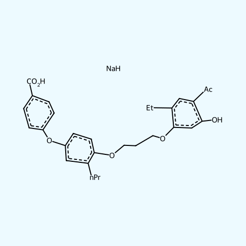 CCCc1cc(Oc2ccc(C(=O)O)cc2)ccc1OCCCOc1cc(O)c(C(C)=O)cc1CC.[NaH]